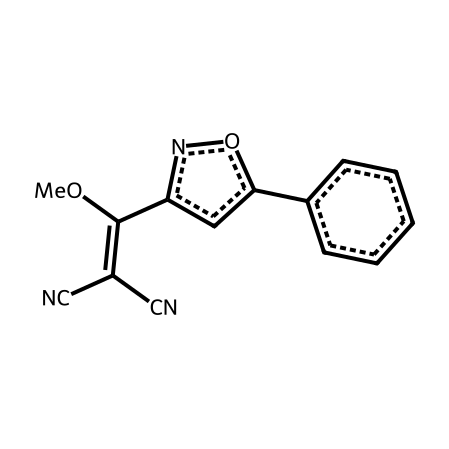 COC(=C(C#N)C#N)c1cc(-c2ccccc2)on1